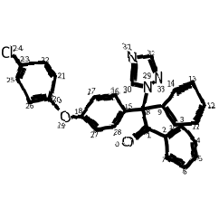 O=C(c1ccccc1)C(c1ccccc1)(c1ccc(Oc2ccc(Cl)cc2)cc1)n1cncn1